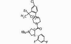 CCC(C)(C(=O)O)c1cc(Cl)ccc1C1CCN(C(=O)[C@@H]2CN(C(C)(C)C)C[C@H]2c2ccc(F)cc2F)CC1